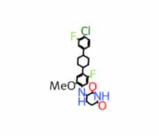 COc1cc(C2CCC(c3ccc(Cl)c(F)c3)CC2)c(F)cc1NC1CCC(=O)NC1=O